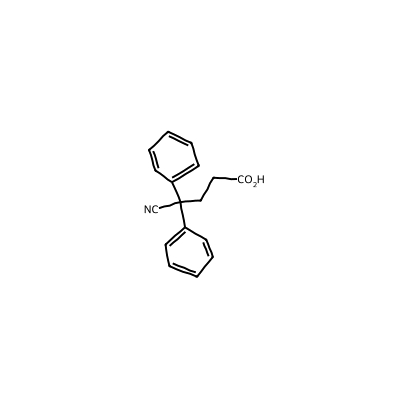 N#CC(CCC(=O)O)(c1ccccc1)c1ccccc1